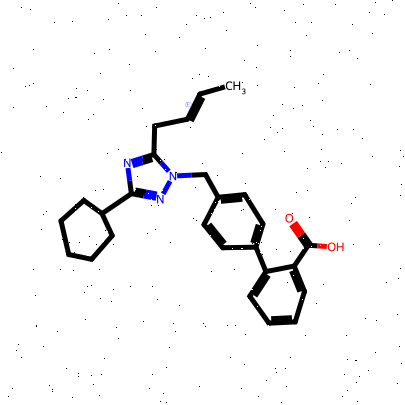 C/C=C/Cc1nc(C2CCCCC2)nn1Cc1ccc(-c2ccccc2C(=O)O)cc1